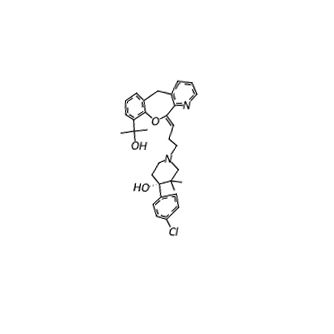 CC(C)(O)c1cccc2c1OC(=CCCN1CC[C@](O)(c3ccc(Cl)cc3)C(C)(C)C1)c1ncccc1C2